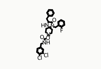 O=C(NCc1ccc(Cl)c(Cl)c1)ON1CCC2(CC1)NC(Cc1ccccc1)C(=O)N2Cc1ccccc1F